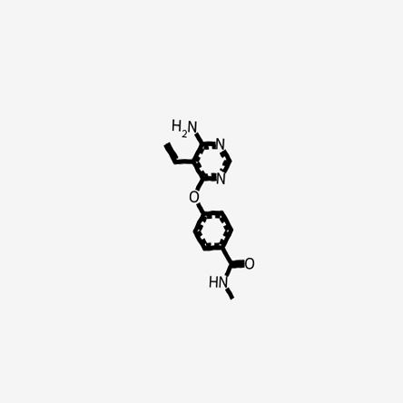 C=Cc1c(N)ncnc1Oc1ccc(C(=O)NC)cc1